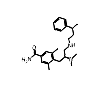 Cc1cc(C(N)=O)cc(C)c1CC(CNCCC(C)c1ccccc1)N(C)C